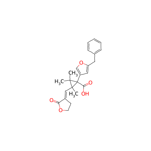 CC1(C)C(C)(C=C2CCOC2=O)C1(C(=O)O)c1coc(Cc2ccccc2)c1